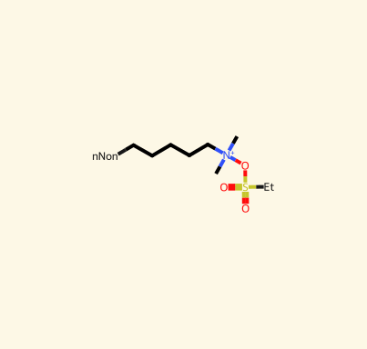 CCCCCCCCCCCCCC[N+](C)(C)OS(=O)(=O)CC